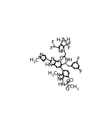 Cn1cc(-c2nc3nc([C@H](Cc4cc(F)cc(F)c4)NC(=O)Cn4nc(C(F)F)c5c4C(F)(F)[C@@H]4C[C@H]54)c(-c4ccc(Cl)c5c(NS(C)(=O)=O)nn(C)c45)cc3[nH]2)cn1